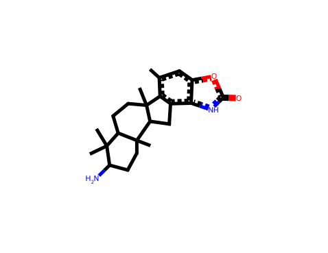 Cc1cc2oc(=O)[nH]c2c2c1C1(C)CCC3C(C)(C)C(N)CCC3(C)C1C2